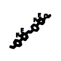 C=Cc1ccc(-c2ccc(/C=C/C3CCC(c4ccc(OCC)c(F)c4F)CC3)c(F)c2F)cc1